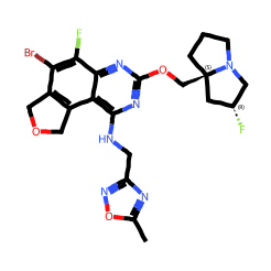 Cc1nc(CNc2nc(OC[C@@]34CCCN3C[C@H](F)C4)nc3c(F)c(Br)c4c(c23)COC4)no1